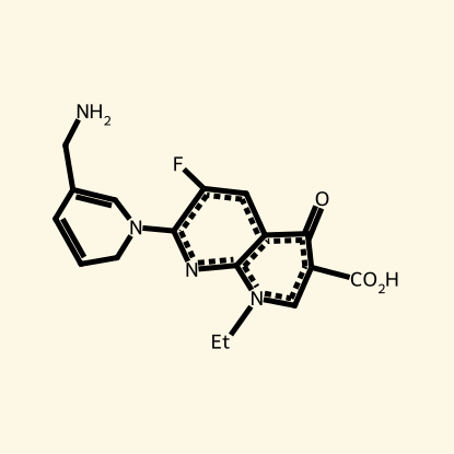 CCn1cc(C(=O)O)c(=O)c2cc(F)c(N3C=C(CN)C=CC3)nc21